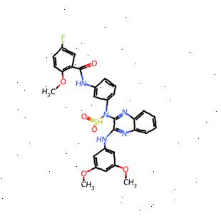 COc1cc(Nc2nc3ccccc3nc2N(c2cccc(NC(=O)c3cc(F)ccc3OC)c2)[SH](=O)=O)cc(OC)c1